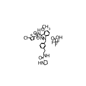 COc1cccc2c1c(NS(=O)(=O)c1ccc(Cl)s1)nn2Cc1cccc(CCNC(=O)[C@@H]2CCCN2)c1.O=C(O)C(F)(F)F